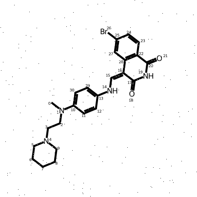 CN(CCN1CCCCC1)c1ccc(NC=C2C(=O)NC(=O)c3ccc(Br)cc32)cc1